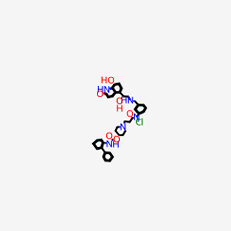 O=C(Nc1ccccc1-c1ccccc1)OC1CCN(CCC(=O)N(Cl)c2cccc(CNCC(O)c3ccc(O)c4[nH]c(=O)ccc34)c2)CC1